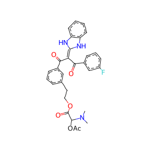 CC(=O)OC(C(=O)OCCc1cccc(C(=O)C(C(=O)c2cccc(F)c2)=C2Nc3ccccc3N2)c1)N(C)C